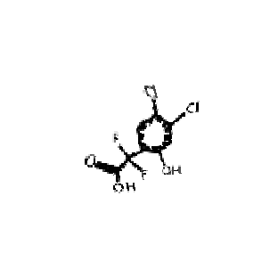 O=C(O)C(F)(F)c1cc(Cl)c(Cl)cc1O